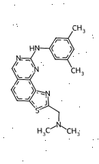 Cc1cc(C)cc(Nc2ncc3ccc4sc(CN(C)C)nc4c3n2)c1